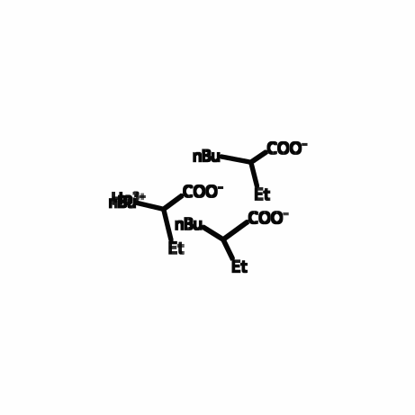 CCCCC(CC)C(=O)[O-].CCCCC(CC)C(=O)[O-].CCCCC(CC)C(=O)[O-].[Ho+3]